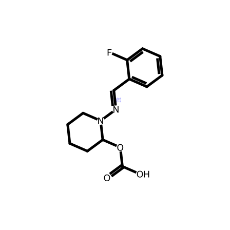 O=C(O)OC1CCCCN1/N=C/c1ccccc1F